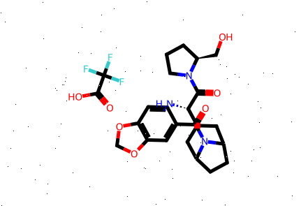 N[C@H](C(=O)N1CCC[C@H]1CO)C1CC2CCC(C1)N2C(=O)c1ccc2c(c1)OCO2.O=C(O)C(F)(F)F